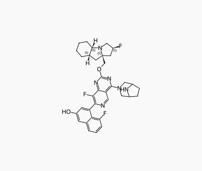 Oc1cc(-c2ncc3c(N4CC5CCC(C4)N5)nc(OC[C@]45C[C@H](F)CN4[C@H]4CCCC[C@H]4C5)nc3c2F)c2c(F)cccc2c1